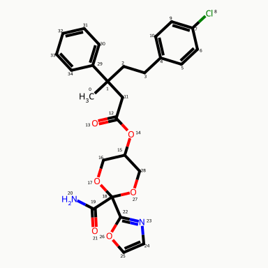 CC(CCc1ccc(Cl)cc1)(CC(=O)OC1COC(C(N)=O)(c2ncco2)OC1)c1ccccc1